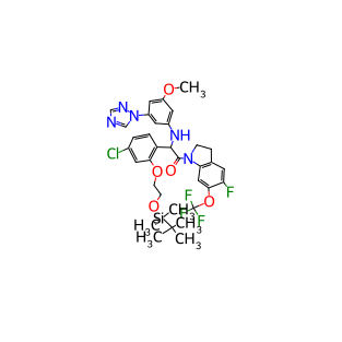 COc1cc(NC(C(=O)N2CCc3cc(F)c(OC(F)(F)F)cc32)c2ccc(Cl)cc2OCCO[Si](C)(C)C(C)(C)C)cc(-n2cncn2)c1